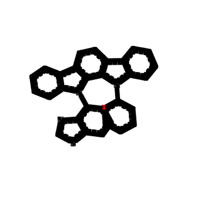 c1ccc(-n2c3ccccc3c3ccc4c5ccccc5n(-c5cccc6scnc56)c4c32)cc1